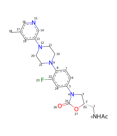 CC(=O)NC[C@H]1CN(c2ccc(N3CCN(c4cncc(C)c4)CC3)c(F)c2)C(=O)O1